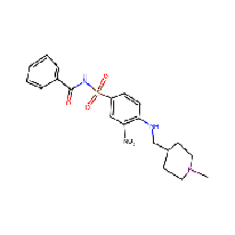 CP1CCC(CNc2ccc(S(=O)(=O)NC(=O)c3ccccc3)cc2[N+](=O)[O-])CC1